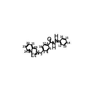 CCN(Cc1ccc(C(=O)NNc2ccccc2)cc1)Cc1ccccn1